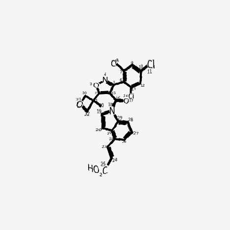 CC1(c2onc(-c3c(Cl)cc(Cl)cc3Cl)c2C(=O)n2ccc3c(/C=C/C(=O)O)cccc32)COC1